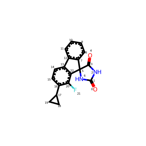 O=C1NC(=O)C2(N1)c1ccccc1-c1ccc(C3CC3)c(F)c12